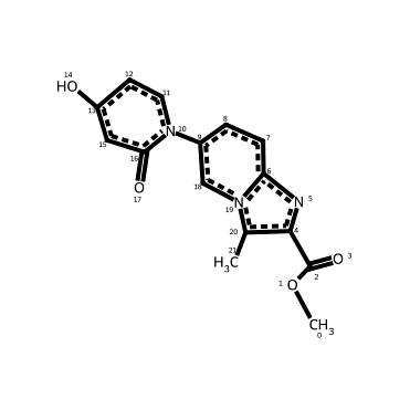 COC(=O)c1nc2ccc(-n3ccc(O)cc3=O)cn2c1C